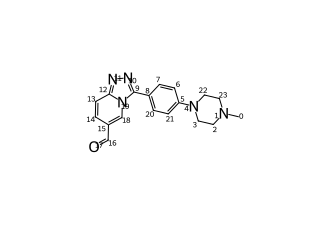 CN1CCN(c2ccc(-c3nnc4ccc(C=O)cn34)cc2)CC1